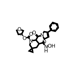 O=C(NO)C1CC2(CC2)CN(C(=O)O[C@H]2CCOC2)C1C(=O)N1CC=C(c2ccccc2)C1